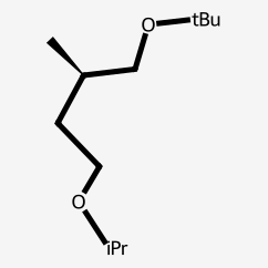 CC(C)OCC[C@@H](C)COC(C)(C)C